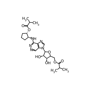 CC(C)C(=O)OCC1OC(n2cnc3c(N[C@H]4CCC[C@@H]4OC(=O)C(C)C)nncc32)[C@H](O)[C@@H]1O